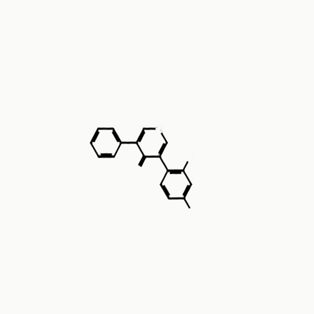 O=c1c(-c2ccccc2)c[nH]cc1-c1ccc(Cl)cc1Cl